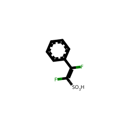 O=S(=O)(O)C(F)=C(F)c1ccccc1